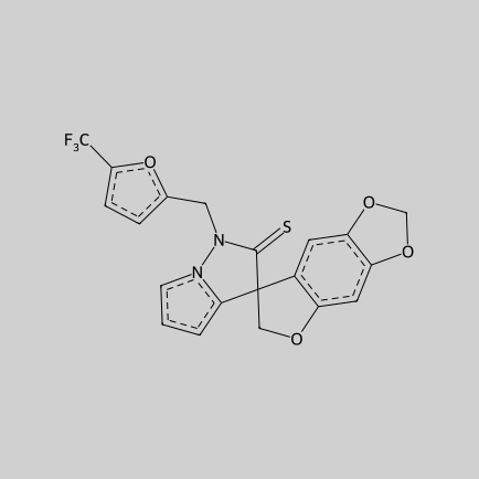 FC(F)(F)c1ccc(CN2C(=S)C3(COc4cc5c(cc43)OCO5)c3cccn32)o1